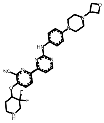 N#Cc1nc(-c2ccnc(Nc3ccc(N4CCN(C5COC5)CC4)cc3)n2)ccc1OC1CCNCC1(F)F